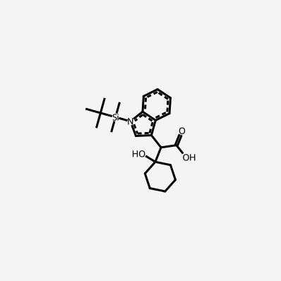 CC(C)(C)[Si](C)(C)n1cc(C(C(=O)O)C2(O)CCCCC2)c2ccccc21